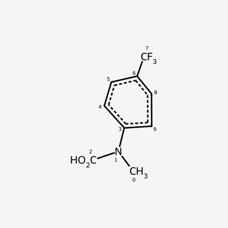 CN(C(=O)O)c1ccc(C(F)(F)F)cc1